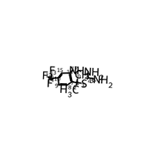 CC(C)(SC(N)N)c1ccc(C(F)(F)F)cc1N